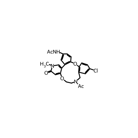 CC(=O)Nc1ccc2c(c1)-c1cn(C)c(=O)cc1OCCN(C(C)=O)Cc1cc(Cl)ccc1O2